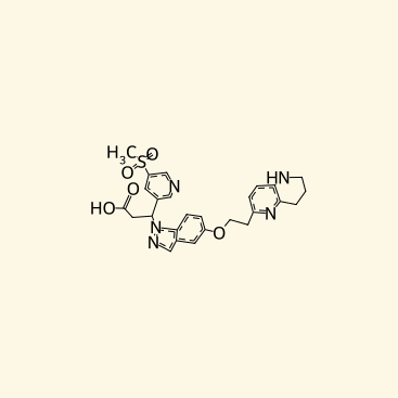 CS(=O)(=O)c1cncc(C(CC(=O)O)n2ncc3cc(OCCc4ccc5c(n4)CCCN5)ccc32)c1